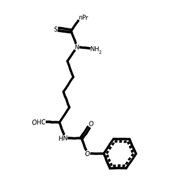 CCCC(=S)N(N)CCCCC(C=O)NC(=O)Oc1ccccc1